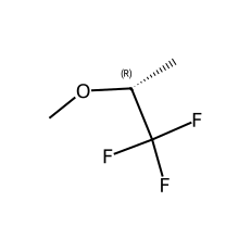 CO[C@H](C)C(F)(F)F